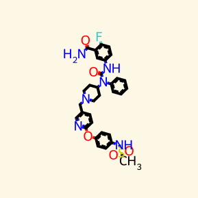 CS(=O)(=O)Nc1ccc(Oc2ccc(CN3CCC(N(C(=O)Nc4ccc(F)c(C(N)=O)c4)c4ccccc4)CC3)cn2)cc1